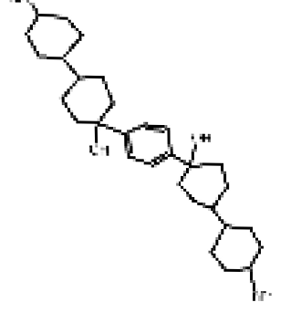 CCCC1CCC(C2CCC(O)(c3ccc(C4(O)CCC(C5CCC(CCC)CC5)CC4)cc3)CC2)CC1